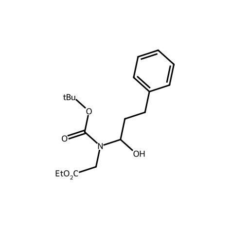 CCOC(=O)CN(C(=O)OC(C)(C)C)C(O)CCc1ccccc1